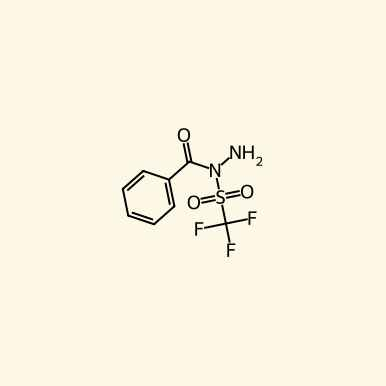 NN(C(=O)c1ccccc1)S(=O)(=O)C(F)(F)F